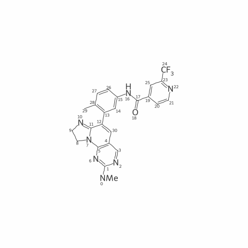 CNc1ncc2c(n1)N1CCN=C1C(c1cc(NC(=O)c3ccnc(C(F)(F)F)c3)ccc1C)=C2